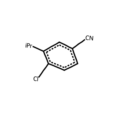 CC(C)c1cc(C#N)ccc1Cl